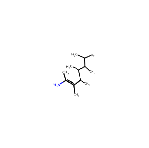 C/C(N)=C(/C)C(C)C(C)C(C)C(C)C(C)C